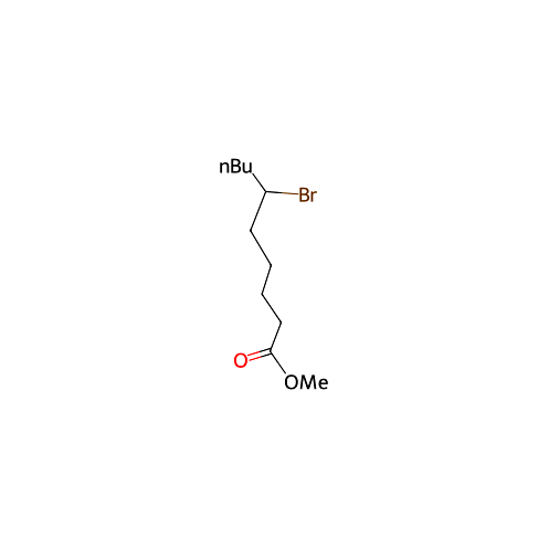 CCCCC(Br)CCCCC(=O)OC